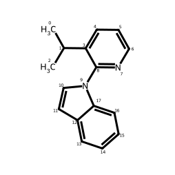 CC(C)c1cccnc1-n1ccc2ccccc21